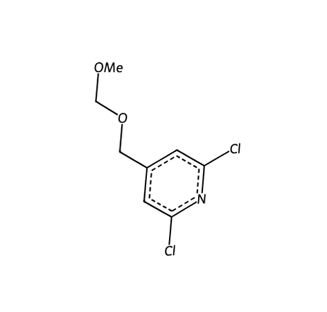 COCOCc1cc(Cl)nc(Cl)c1